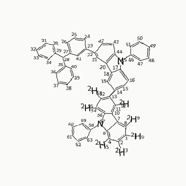 [2H]c1c([2H])c([2H])c2c(c1[2H])c1c([2H])c(-c3ccc4c(c3)c3cc(-c5cccc(C(c6ccccc6)c6ccccc6)c5)ccc3n4-c3ccccc3)c([2H])c([2H])c1n2-c1ccccc1